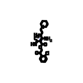 CC(=N)/C(C(=O)OCC(=O)c1ccccc1Cl)=C(/N)NCCN1CCCCC1